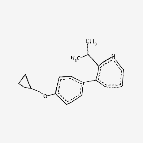 CC(C)c1ncccc1-c1ccc(OC2CC2)cc1